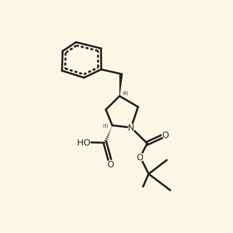 CC(C)(C)OC(=O)N1C[C@H](Cc2ccccc2)C[C@H]1C(=O)O